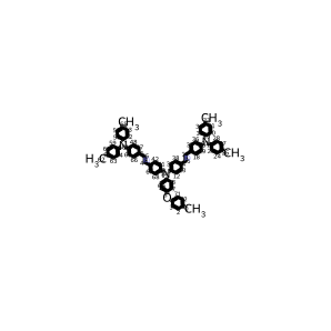 Cc1ccc(Oc2ccc(N(c3ccc(/C=C/c4ccc(N(c5ccc(C)cc5)c5ccc(C)cc5)cc4)cc3)c3ccc(/C=C/c4ccc(N(c5ccc(C)cc5)c5ccc(C)cc5)cc4)cc3)cc2)cc1